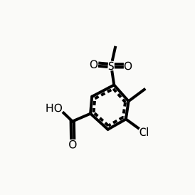 Cc1c(Cl)cc(C(=O)O)cc1S(C)(=O)=O